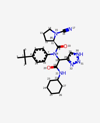 CC(C)(C)c1ccc(N(C(=O)[C@H]2CCCN2C#N)C(C(=O)NC2CCCCC2)c2c[nH]nn2)cc1